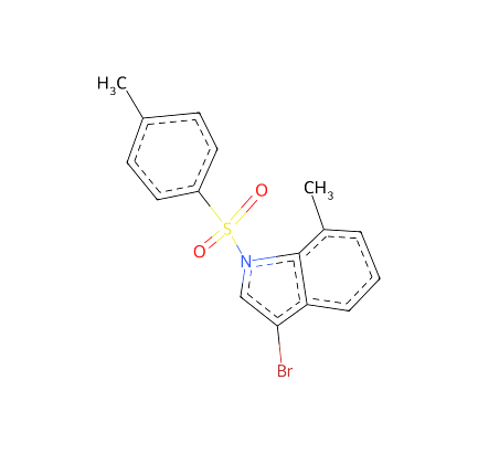 Cc1ccc(S(=O)(=O)n2cc(Br)c3cccc(C)c32)cc1